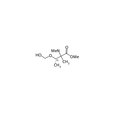 CNC(C)(C(=O)OC)[C@H](C)OCO